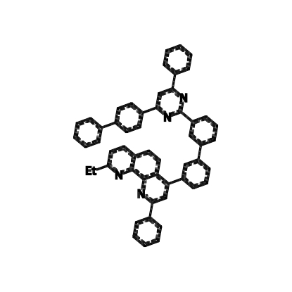 CCc1ccc2ccc3c(-c4cccc(-c5cccc(-c6nc(-c7ccccc7)cc(-c7ccc(-c8ccccc8)cc7)n6)c5)c4)cc(-c4ccccc4)nc3c2n1